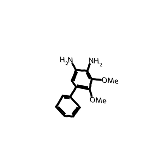 COc1c(-c2ccccc2)cc(N)c(N)c1OC